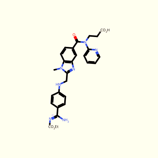 CCOC(=O)/N=C(\N)c1ccc(NCc2nc3cc(C(=O)N(CCC(=O)O)c4ccccn4)ccc3n2C)cc1